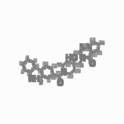 Nc1ccccc1-c1ccc(C(=O)N2CCC(O)(Cn3cnn4cccc4c3=O)CC2)cc1